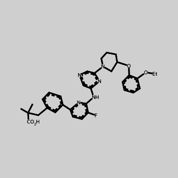 CCOc1ccccc1OC1CCCN(c2cncc(Nc3nc(-c4cccc(CC(C)(C)C(=O)O)c4)ccc3F)n2)C1